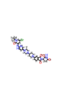 [2H]C([2H])([2H])n1cc(Br)cc(Nc2ccc(N3CCN(C4CCN(c5ccc6c(c5)C(=O)N(C5CCC(=O)NC5=O)C6=O)CC4)C[C@@H]3C)cn2)c1=O